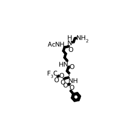 CC(=O)N[C@@H](CCCCNC(=O)CC[C@H](NC(=O)OCc1ccccc1)C(=O)OC(=O)C(F)(F)F)C(=O)NCCN